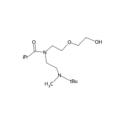 CC(C)C(=O)N(CCOCCO)CCN(C)C(C)(C)C